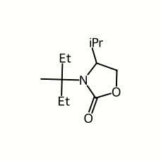 CCC(C)(CC)N1C(=O)OCC1C(C)C